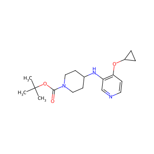 CC(C)(C)OC(=O)N1CCC(Nc2cnccc2OC2CC2)CC1